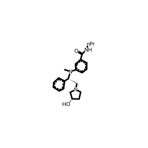 CCCNC(=O)c1cccc(N(C)[C@H](CN2CC[C@H](O)C2)c2ccccc2)c1